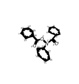 O=C(ON(C(=O)c1ccccc1)c1ccccc1)c1ccccc1